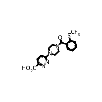 O=C(O)c1ccc(N2CCN(C(=O)c3ccccc3SC(F)(F)F)CC2)nn1